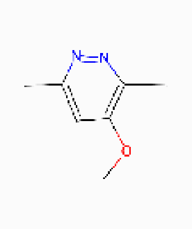 COc1cc(C)nnc1C